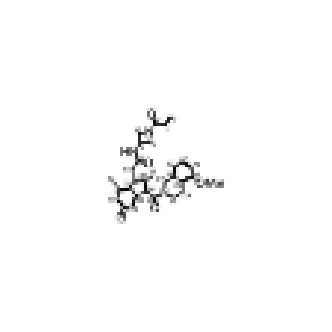 C=CC(=O)N1CC(NC(=O)Cn2c(C)c(C(=O)N3CCc4c(cccc4OC)C3)c3cc(Cl)cc(C)c32)C1